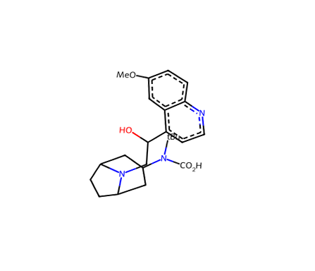 COc1ccc2nccc(C(O)CN3C4CCC3CC(N(C(=O)O)C(C)(C)C)C4)c2c1